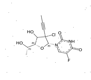 CC#CC1(Cl)C(O)[C@@H]([C@H](C)O)O[C@H]1n1cc(F)c(=O)[nH]c1=O